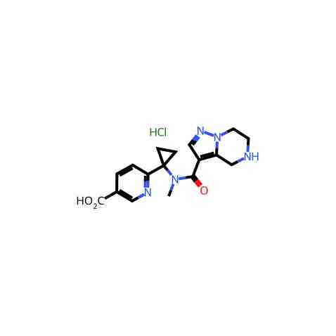 CN(C(=O)c1cnn2c1CNCC2)C1(c2ccc(C(=O)O)cn2)CC1.Cl